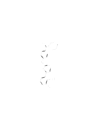 Cc1c(N)cccc1-c1ccnc(Nc2ccc(C(=O)N3CCCCC3)cc2)n1